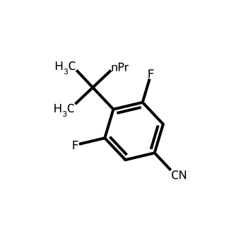 CCCC(C)(C)c1c(F)cc(C#N)cc1F